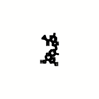 Cc1cn2nc(CN3CCC4(C[C@@H]3C)OCC(O)c3cc(Cl)sc34)cc2c(NC2CC2)n1